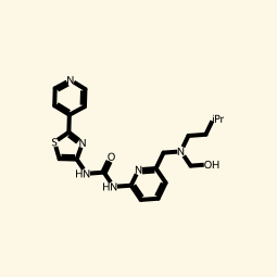 CC(C)CCN(CO)Cc1cccc(NC(=O)Nc2csc(-c3ccncc3)n2)n1